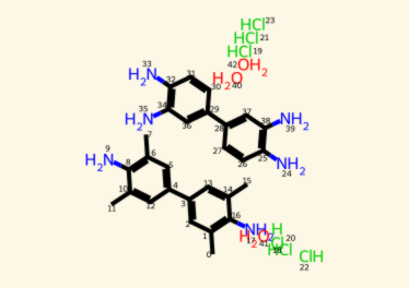 Cc1cc(-c2cc(C)c(N)c(C)c2)cc(C)c1N.Cl.Cl.Cl.Cl.Cl.Cl.Nc1ccc(-c2ccc(N)c(N)c2)cc1N.O.O.O